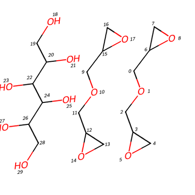 C(OCC1CO1)C1CO1.C(OCC1CO1)C1CO1.OCC(O)C(O)C(O)C(O)CO